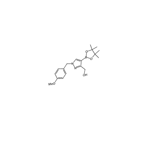 COc1ccc(Cn2cc(B3OC(C)(C)C(C)(C)O3)c(CO)n2)cc1